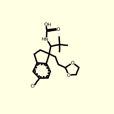 CC(C)(C)C(NC(=O)O)C1(CCC2OCCO2)CCc2cc(Cl)ccc21